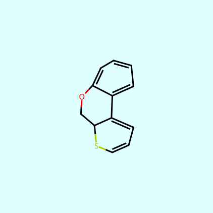 C1=CSC2COc3ccccc3C2=C1